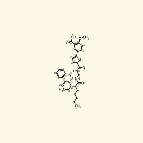 CCCCCC(C(=O)NCNC(=O)c1ccc(-c2ccc(OC)c(C(=O)O)c2)o1)C(CC)N(C=O)OCc1ccccc1